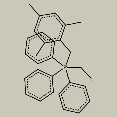 Cc1cc(C)c(CP(CI)(c2ccccc2)(c2ccccc2)c2ccccc2)c(C)c1